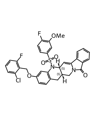 COc1cc(S(=O)(=O)N2c3cc(OCc4c(F)cccc4Cl)ccc3C[C@H]3CN4C(=O)c5ccccc5C4=C[C@H]32)ccc1F